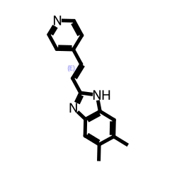 Cc1cc2nc(/C=C/c3ccncc3)[nH]c2cc1C